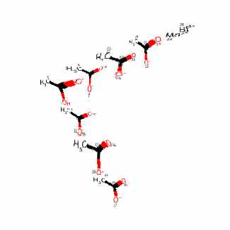 CC(=O)O.CC(=O)[O-].CC(=O)[O-].CC(=O)[O-].CC(=O)[O-].CC(=O)[O-].CC(=O)[O-].[Hf+4].[Mn+2]